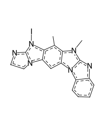 Cc1c2c(cc3c1n(I)c1nccn31)n1c3ccccc3nc1n2C